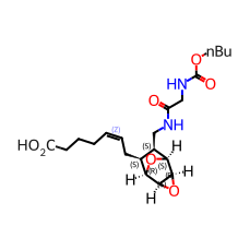 CCCCOC(=O)NCC(=O)NC[C@@H]1[C@H](C/C=C\CCCC(=O)O)[C@H]2O[C@@H]1[C@H]1O[C@H]12